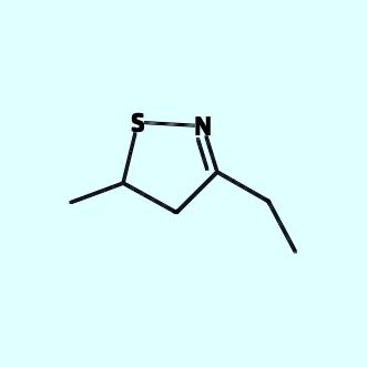 CCC1=NSC(C)C1